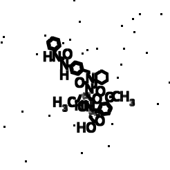 COc1cccc([C@H](CC(=O)O)NC(=O)[C@H](CC(C)C)N2C(=O)N(Cc3ccc(NC(=O)Nc4ccccc4)cc3)C3(CCCCC3)C2=O)c1